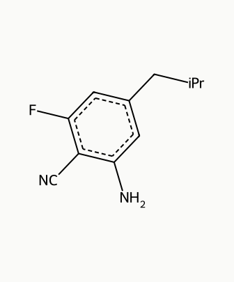 CC(C)Cc1cc(N)c(C#N)c(F)c1